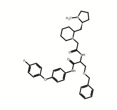 CN1CCC[C@H]1CC1CCCCN1CC(=O)NC(COCc1ccccc1)C(=O)Nc1ccc(Oc2ccc(F)cc2)cc1